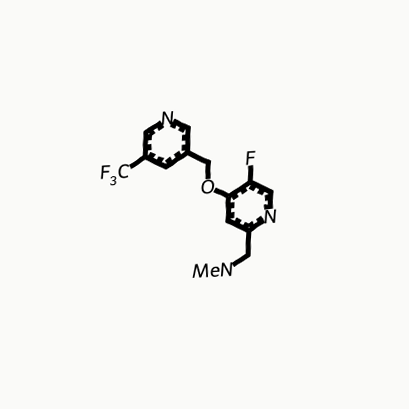 CNCc1cc(OCc2cncc(C(F)(F)F)c2)c(F)cn1